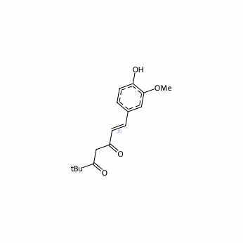 COc1cc(/C=C/C(=O)CC(=O)C(C)(C)C)ccc1O